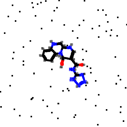 O=C(Nc1nnn[nH]1)c1cnc2cnc3ccccc3n2c1=O